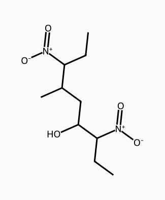 CCC(C(C)CC(O)C(CC)[N+](=O)[O-])[N+](=O)[O-]